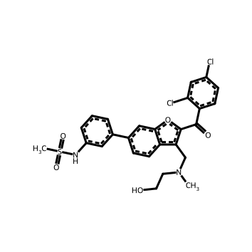 CN(CCO)Cc1c(C(=O)c2ccc(Cl)cc2Cl)oc2cc(-c3cccc(NS(C)(=O)=O)c3)ccc12